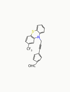 O=Cc1ccc(C#CCN2c3ccccc3Sc3ccc(C(F)(F)F)cc32)cc1